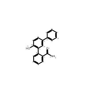 NC(=O)c1ccccc1-c1cc(-c2ccccc2)ccc1O